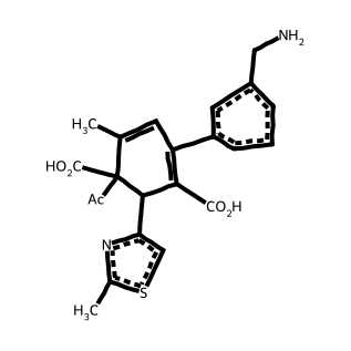 CC(=O)C1(C(=O)O)C(C)=CC(c2cccc(CN)c2)=C(C(=O)O)C1c1csc(C)n1